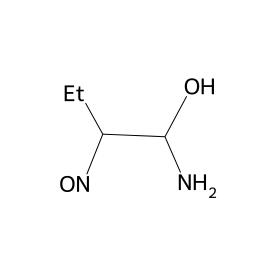 CCC(N=O)C(N)O